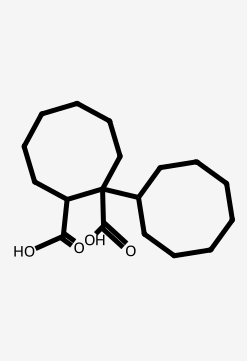 O=C(O)C1CCCCCCC1(C(=O)O)C1CCCCCCC1